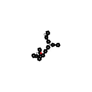 c1ccc(-c2ccc(N(c3ccc(-c4ccc(-c5ccc6c(c5)C5(c7ccccc7-6)c6ccc7ccccc7c6Oc6c5ccc5ccccc65)cc4)cc3)c3ccc(-c4ccc5oc6ccccc6c5c4)cc3)cc2)cc1